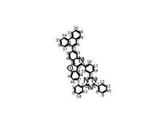 c1ccc(-c2nc(-c3ccccc3)nc(-c3cccc(-c4nc5cc(-c6cc7ccccc7c7ccccc67)ccc5c5oc6ccccc6c45)c3)n2)cc1